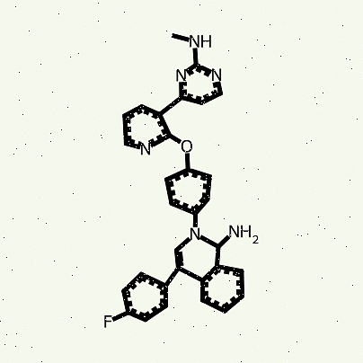 CNc1nccc(-c2cccnc2Oc2ccc(N3C=C(c4ccc(F)cc4)c4ccccc4C3N)cc2)n1